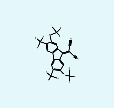 N#CC(C#N)=C1c2cc(OC(F)(F)F)c(C(F)(F)F)cc2-c2cc(C(F)(F)F)c(OC(F)(F)F)cc21